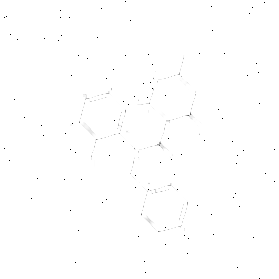 CCc1cc(=O)c(C(=O)N(Cc2ccccc2)c2ccccc2Cl)c(C)[nH]1